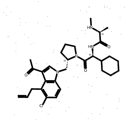 C=CCc1c(Cl)ccc2c1c(C(C)=O)cn2C[C@@H]1CCCN1C(=O)[C@@H](NC(=O)[C@H](C)NC)C1CCCCC1